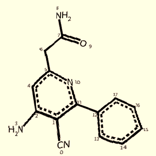 N#Cc1c(N)cc(CC(N)=O)nc1-c1ccccc1